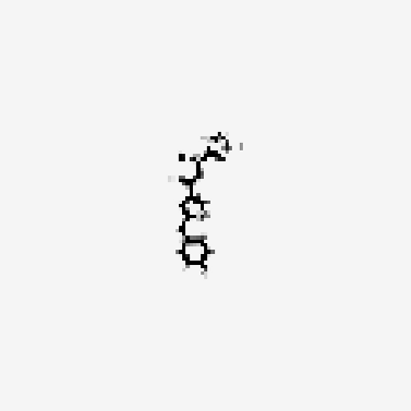 O=C(C=C(O)c1nn[nH]n1)c1csc(Cc2ccc(F)cc2)c1